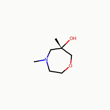 CN1CCOC[C@@](C)(O)C1